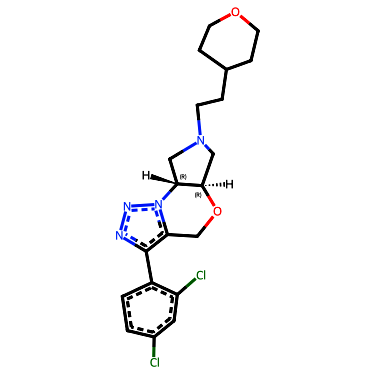 Clc1ccc(-c2nnn3c2CO[C@@H]2CN(CCC4CCOCC4)C[C@H]23)c(Cl)c1